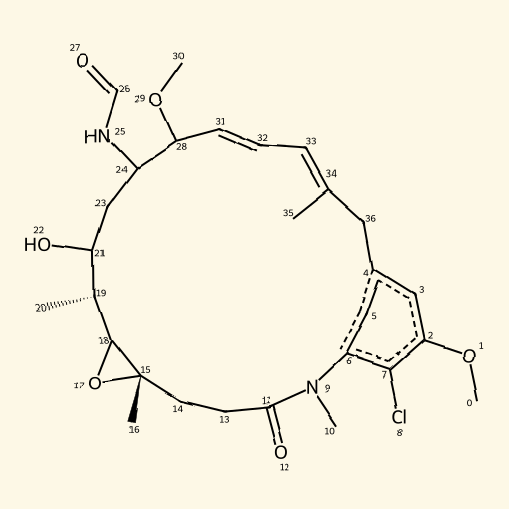 COc1cc2cc(c1Cl)N(C)C(=O)CC[C@]1(C)OC1[C@H](C)C(O)CC(NC=O)C(OC)/C=C/C=C(\C)C2